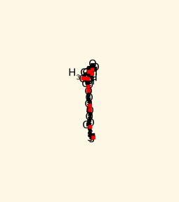 CC(C)[C@]12O[C@H]1[C@H](C)[C@@]13O[C@@]14CCC1=C(COC1=O)[C@@H]4C[C@@H]1O[C@@]13[C@@H]2OC(=O)OCCOCCOCCOCCOCCOCCOC(=O)CCCCC1CCSS1